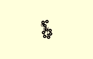 CC1(C)c2ccccc2-c2cccc(-c3cccc(-c4cccc(-c5nc(-c6ccccc6)nc(-c6ccc7c(c6)oc6cccc(-c8ccccc8)c67)n5)c4)c3)c21